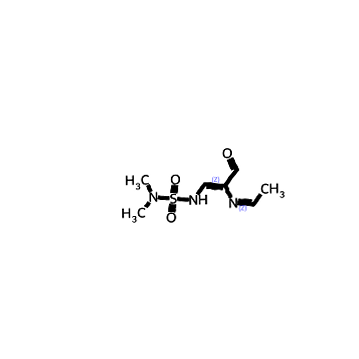 C/C=N\C(C=O)=C/NS(=O)(=O)N(C)C